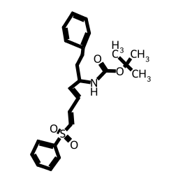 CC(C)(C)OC(=O)NC(C=CC=CS(=O)(=O)c1ccccc1)CCc1ccccc1